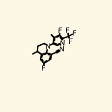 Cc1c(N2CCC(C)c3cc(F)cc(C#N)c32)cnc(C(F)(F)F)c1F